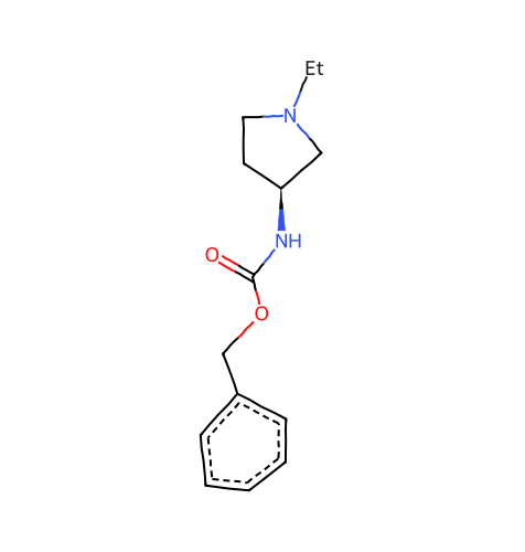 CCN1CC[C@H](NC(=O)OCc2ccccc2)C1